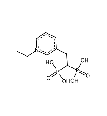 CC[n+]1cccc(CC(P(=O)(O)O)P(=O)(O)O)c1